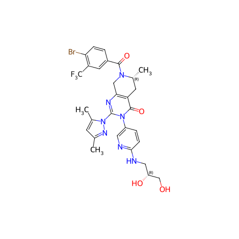 Cc1cc(C)n(-c2nc3c(c(=O)n2-c2ccc(NC[C@@H](O)CO)nc2)C[C@@H](C)N(C(=O)c2ccc(Br)c(C(F)(F)F)c2)C3)n1